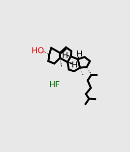 CC(C)CCCC(C)[C@H]1CC[C@H]2[C@@H]3CC=C4C[C@@H](O)CC[C@]4(C)[C@H]3CC[C@]12C.F